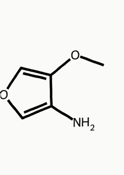 COc1cocc1N